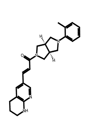 Cc1ccccc1N1C[C@H]2CN(C(=O)/C=C/c3cnc4c(c3)CCCN4)C[C@H]2C1